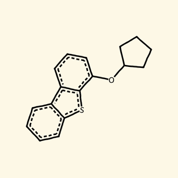 c1ccc2c(c1)sc1c(OC3CCCC3)cccc12